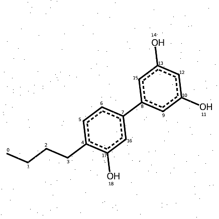 CCCCc1ccc(-c2cc(O)cc(O)c2)cc1O